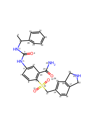 CC(NC(=O)Nc1ccc(S(=O)(=O)Cc2ccc3c(c2)CNC3)c(C(N)=O)c1)c1ccccc1